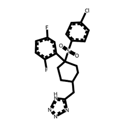 O=S(=O)(c1ccc(Cl)cc1)C1(c2cc(F)ccc2F)CCC(Cc2nnn[nH]2)CC1